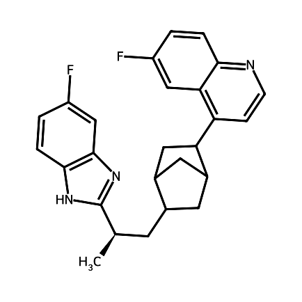 C[C@H](CC1CC2CC1CC2c1ccnc2ccc(F)cc12)c1nc2cc(F)ccc2[nH]1